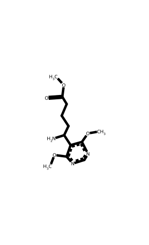 COC(=O)CCCC(N)c1c(OC)ncnc1OC